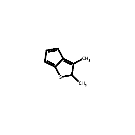 C[C]1SC2=CC=CC2=C1C